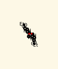 CCC(=O)O[C@@H]1CC[C@]2(C)C(=CC[C@@H]3[C@H]4CC=C(C5=C(c6cccnc6)[C@@]6(C)CC[C@H]7[C@@H](CC=C8C[C@@H](OC(=O)CC)CC[C@@]87C)[C@@H]6C5)[C@]4(C)CC[C@H]32)C1